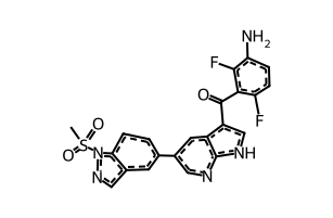 CS(=O)(=O)n1ncc2cc(-c3cnc4[nH]cc(C(=O)c5c(F)ccc(N)c5F)c4c3)ccc21